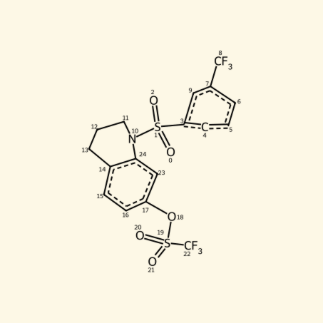 O=S(=O)(c1cccc(C(F)(F)F)c1)N1CCCc2ccc(OS(=O)(=O)C(F)(F)F)cc21